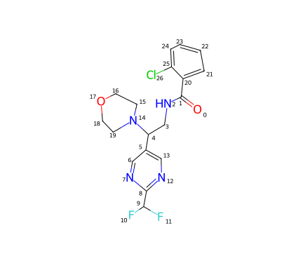 O=C(NCC(c1cnc(C(F)F)nc1)N1CCOCC1)c1ccccc1Cl